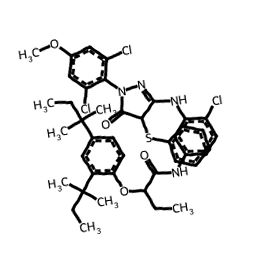 CCC(Oc1ccc(C(C)(C)CC)cc1C(C)(C)CC)C(=O)Nc1ccc(Cl)c(NC2=NN(c3c(Cl)cc(OC)cc3Cl)C(=O)C2Sc2ccccc2)c1